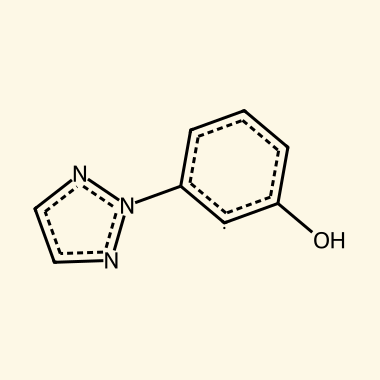 Oc1[c]c(-n2nccn2)ccc1